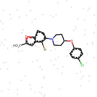 O=C(O)c1cc2c(Br)c(N3CCC(Oc4ccc(Cl)cc4)CC3)ccc2o1